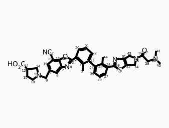 Cc1c(-c2nc3cc(CN4CCC(C(=O)O)C4)cc(C#N)c3o2)cccc1-c1cccc(-c2nc3c(s2)CN(C(=O)CN(C)C)C3)c1C